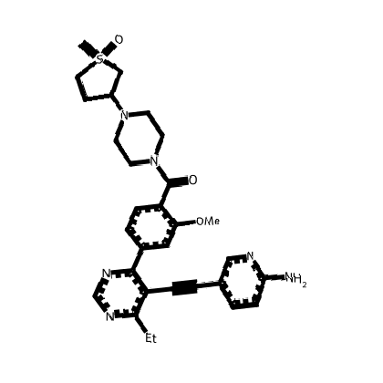 C=S1(=O)CCC(N2CCN(C(=O)c3ccc(-c4ncnc(CC)c4C#Cc4ccc(N)nc4)cc3OC)CC2)C1